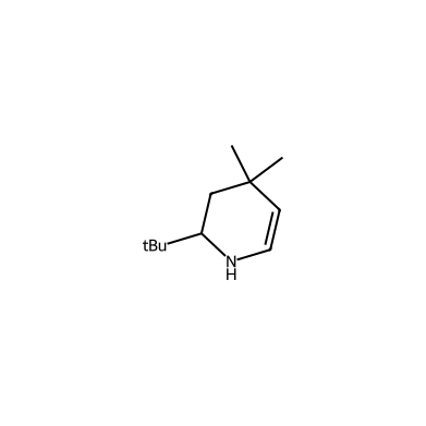 CC1(C)C=CNC(C(C)(C)C)C1